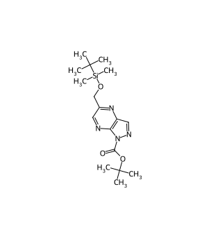 CC(C)(C)OC(=O)n1ncc2nc(CO[Si](C)(C)C(C)(C)C)cnc21